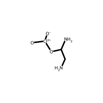 NCC(N)O[Cl+2]([O-])[O-]